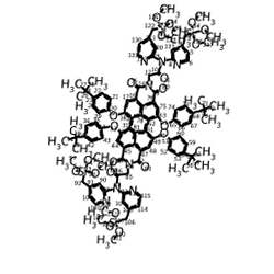 CO[Si](Cc1ccnc(N(C(=O)CN2C(=O)c3cc(Oc4ccc(C(C)(C)C)cc4)c4c5c(Oc6ccc(C(C)(C)C)cc6)cc6c7c(cc(Oc8ccc(C(C)(C)C)cc8)c(c8c(Oc9ccc(C(C)(C)C)cc9)cc(c3c48)C2=O)c75)C(=O)N(CC(=O)N(c2cc(C[Si](OC)(OC)OC)ccn2)c2cc(C[Si](OC)(OC)OC)ccn2)C6=O)c2cc(C[Si](OC)(OC)OC)ccn2)c1)(OC)OC